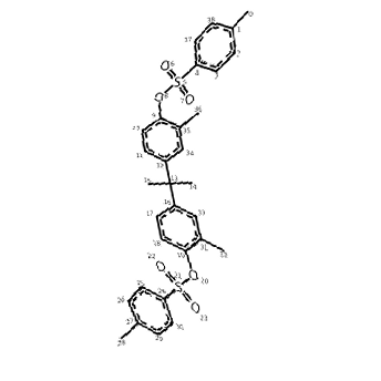 Cc1ccc(S(=O)(=O)Oc2ccc(C(C)(C)c3ccc(OS(=O)(=O)c4ccc(C)cc4)c(C)c3)cc2C)cc1